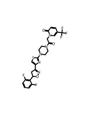 O=C(Cn1cc(C(F)(F)F)ccc1=O)N1CCN(c2nc(C3=NOC(c4c(F)cccc4F)C3)cs2)CC1